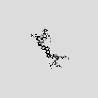 COC[C@H]1CC(c2nc3ccc4cc5c(cc4c3[nH]2)OCc2cc(-c3cnc([C@@H]4C[C@H](C)CN4C(=O)[C@@H](NC(=O)OC)C(C)C)[nH]3)ccc2-5)N(C(=O)OC(C)(C)C)C1